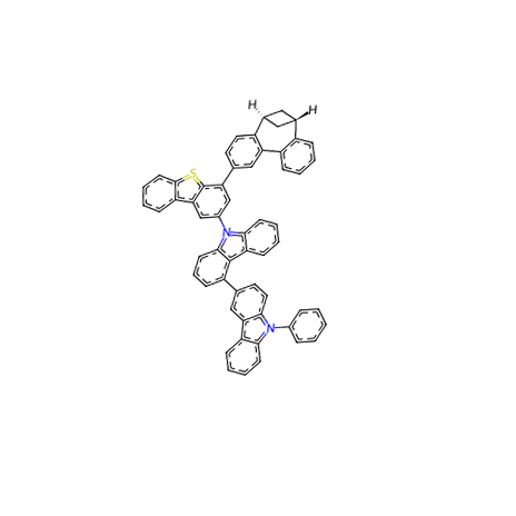 c1ccc(-n2c3ccccc3c3cc(-c4cccc5c4c4ccccc4n5-c4cc(-c5ccc6c(c5)-c5ccccc5[C@H]5C[C@H]6C5)c5sc6ccccc6c5c4)ccc32)cc1